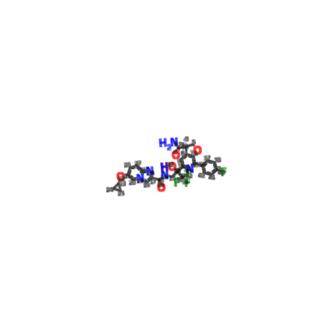 C[C@]1(C(N)=O)COc2c1cc([C@@](O)(CNC(=O)c1cn3cc(OC4CC4)ccc3n1)C(F)(F)F)nc2-c1ccc(F)cc1